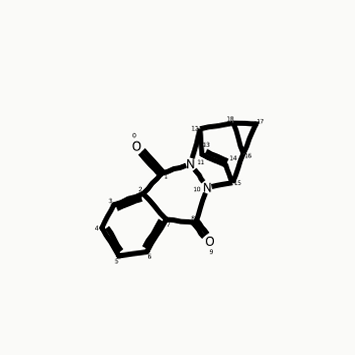 O=c1c2ccccc2c(=O)n2n1C1C=CC2C2CC21